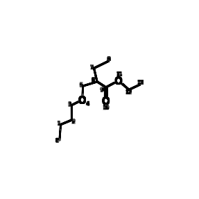 CCCCOCC(CC)C(=O)OCC